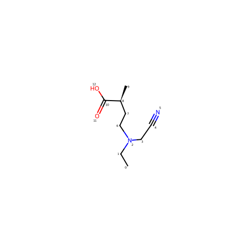 CCN(CC#N)CC[C@H](C)C(=O)O